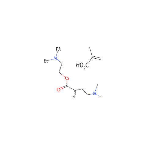 C=C(C)C(=O)O.C=C(CCN(C)C)C(=O)OCCN(CC)CC